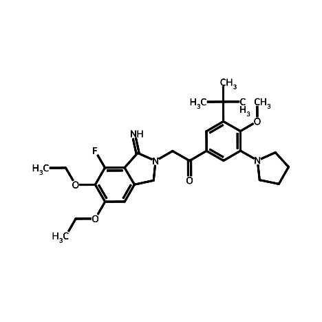 CCOc1cc2c(c(F)c1OCC)C(=N)N(CC(=O)c1cc(N3CCCC3)c(OC)c(C(C)(C)C)c1)C2